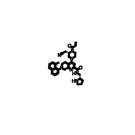 C=CC(=O)N1CCN(c2cc(C(=O)NC[C@@H]3CCCN3)nc3c2CCN(c2cccc4cccc(C)c24)C3)C[C@@H]1CC#N